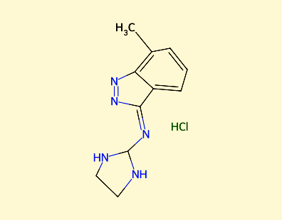 Cc1cccc2c1N=NC2=NC1NCCN1.Cl